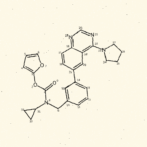 O=C(Oc1ccco1)N(Cc1cccc(-c2ccc3ncnc(N4CCCC4)c3c2)c1)C1CC1